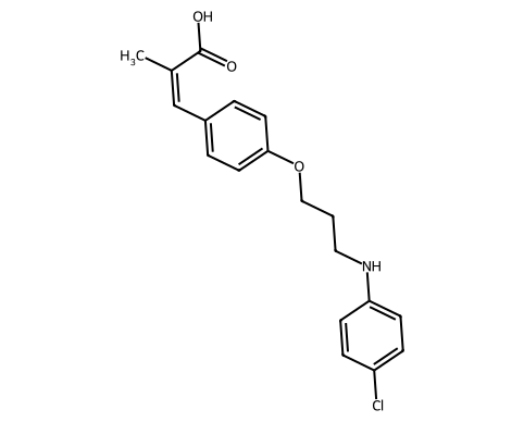 CC(=Cc1ccc(OCCCNc2ccc(Cl)cc2)cc1)C(=O)O